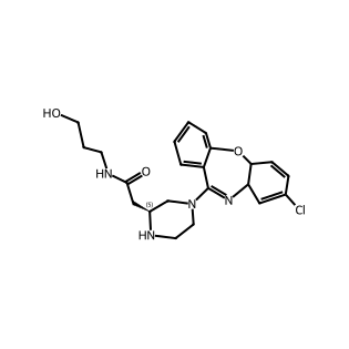 O=C(C[C@H]1CN(C2=NC3C=C(Cl)C=CC3Oc3ccccc32)CCN1)NCCCO